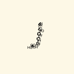 O=C1O[C@@H](Cn2ccnn2)CN1c1ccc(-c2ccc(C3=NO[C@H](COP(=O)(O)O)C3)nc2)c(F)c1